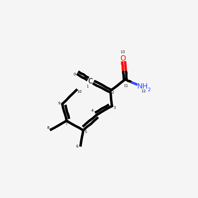 C=C=C(C=C=C(C)/C(C)=C\C)C(N)=O